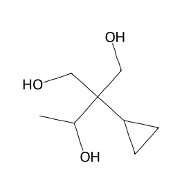 CC(O)C(CO)(CO)C1CC1